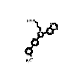 O=C(O)CCCN1N=C(c2ccc(-c3cccc(OC(F)(F)F)c3)cc2)CC1c1ccc2nccnc2c1